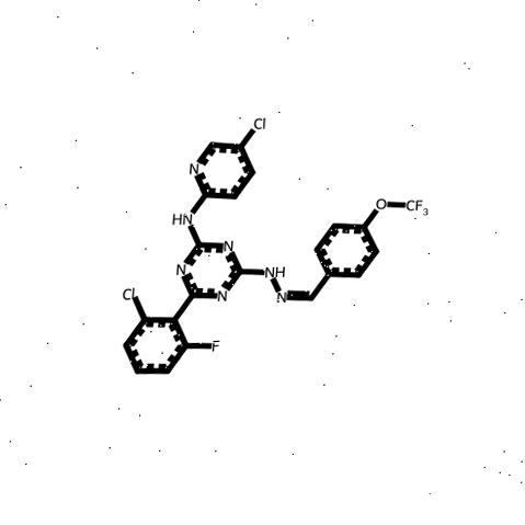 Fc1cccc(Cl)c1-c1nc(N/N=C\c2ccc(OC(F)(F)F)cc2)nc(Nc2ccc(Cl)cn2)n1